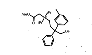 COC(=O)C[N+](CCC(CO)(c1ccccc1)c1cccc(C)c1)(C(C)C)C(C)C